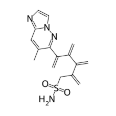 C=C(CS(N)(=O)=O)C(=C)C(=C)C(=C)c1nn2ccnc2cc1C